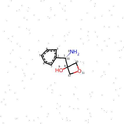 N[C@@H](c1ccccc1)C1(O)COC1